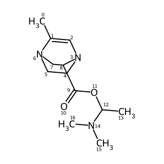 CC1=CN2CCN1CC2C(=O)OC(C)N(C)C